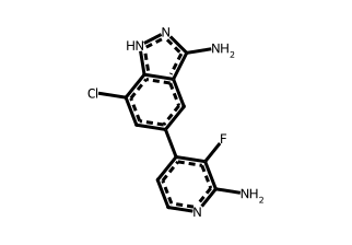 Nc1nccc(-c2cc(Cl)c3[nH]nc(N)c3c2)c1F